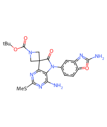 CSc1nc(N)c2c(n1)C1(CN(C(=O)OC(C)(C)C)C1)C(=O)N2c1ccc2oc(N)nc2c1